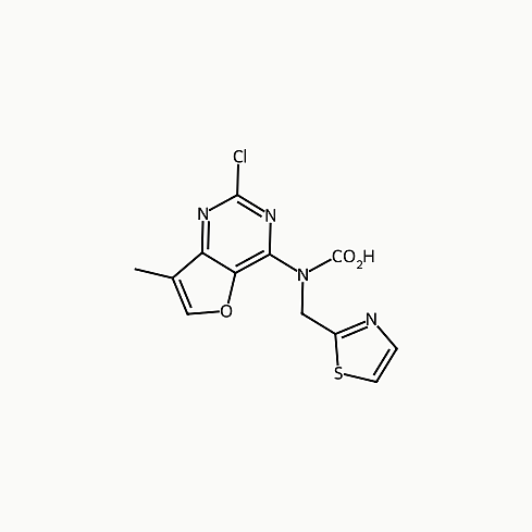 Cc1coc2c(N(Cc3nccs3)C(=O)O)nc(Cl)nc12